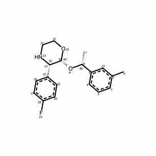 Cc1cccc([C@@H](C)O[C@H]2OCCN[C@H]2c2ccc(F)cc2)c1